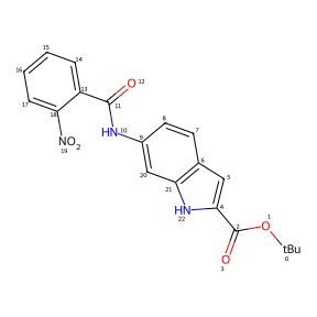 CC(C)(C)OC(=O)c1cc2ccc(NC(=O)c3ccccc3[N+](=O)[O-])cc2[nH]1